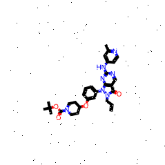 C=CCn1c(=O)c2cnc(Nc3ccnc(C)c3)nc2n1-c1cccc(OC2CCN(C(=O)OC(C)(C)C)CC2)c1